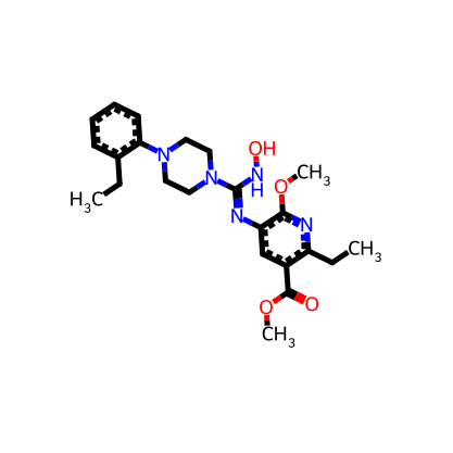 CCc1ccccc1N1CCN(C(=Nc2cc(C(=O)OC)c(CC)nc2OC)NO)CC1